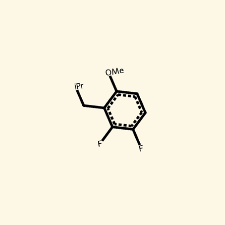 COc1ccc(F)c(F)c1CC(C)C